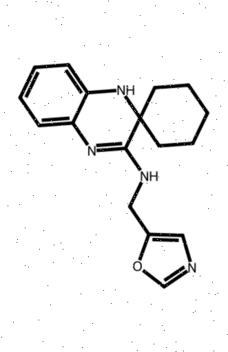 c1ccc2c(c1)N=C(NCc1cnco1)C1(CCCCC1)N2